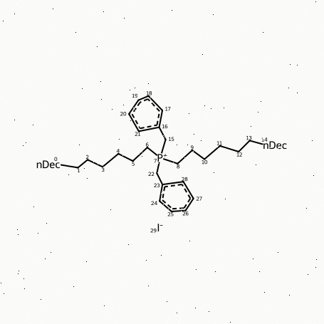 CCCCCCCCCCCCCCCC[P+](CCCCCCCCCCCCCCCC)(Cc1ccccc1)Cc1ccccc1.[I-]